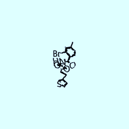 Cc1ccc(C(=O)NS(=O)(=O)C=Cc2ccsc2)c(Br)c1